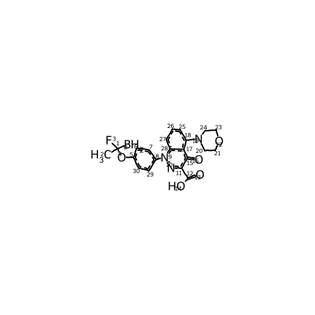 BC(C)(F)Oc1ccc(-n2nc(C(=O)O)c(=O)c3c(N4CCOCC4)cccc32)cc1